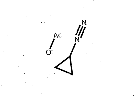 CC(=O)[O-].N#[N+]C1CC1